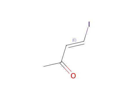 CC(=O)/C=C/I